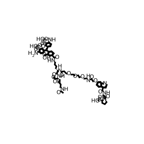 CC(=O)NCCCC[C@H](NC(=O)[C@H](CCCCNC(=O)c1ccc(-c2c3ccc(=N)c(S(=O)(=O)O)c-3oc3c(S(=O)(=O)O)c(N)ccc23)c(C(=O)O)c1)NC(=O)CCOCCOCCOCCNC(=O)COc1ccc2c(C(=O)NCC(=O)N3CCC[C@H]3B(O)O)ccnc2c1)C(=O)O